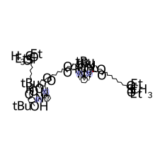 CCO[Si](C)(CCCCCCCCCCC(=O)Oc1cc(/C=N/[C@@H]2CCCC[C@H]2/N=C/c2cc(OC(=O)CCCCCC(=O)Oc3cc(/C=N/[C@@H]4CCCC[C@H]4/N=C/c4cc(OC(=O)CCCCCCCCCC[Si](C)(OCC)OCC)cc(C(C)(C)C)c4O)c(O)c(C(C)(C)C)c3)cc(C(C)(C)C)c2O)c(O)c(C(C)(C)C)c1)OCC